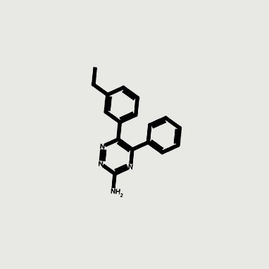 CCc1cccc(-c2nnc(N)nc2-c2ccccc2)c1